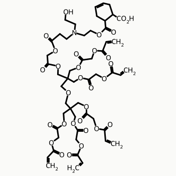 C=CC(=O)OCC(=O)OCC(COCC(COC(=O)COC(=O)C=C)(COC(=O)COC(=O)C=C)COC(=O)COC(=O)CCN(CCO)CCOC(=O)C1CC=CCC1C(=O)O)(COC(=O)COC(=O)C=C)COC(=O)COC(=O)C=C